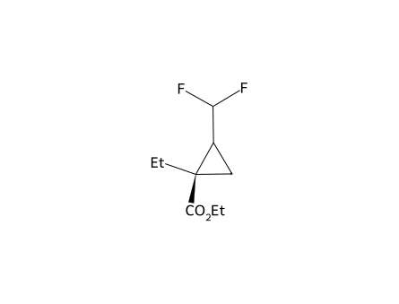 CCOC(=O)[C@]1(CC)CC1C(F)F